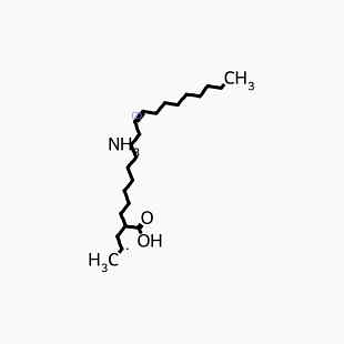 C[CH]CC(CCCCCCCC/C=C\CCCCCCCC)C(=O)O.N